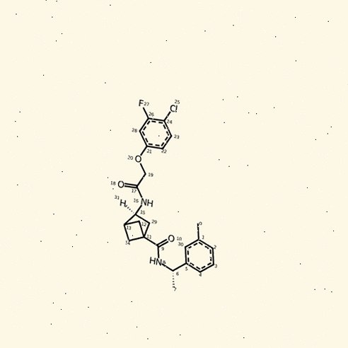 Cc1cccc([C@H](C)NC(=O)C23CC(C2)[C@@H](NC(=O)COc2ccc(Cl)c(F)c2)C3)c1